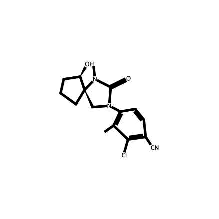 Cc1c(N2C[C@]3(CCC[C@H]3O)N(C)C2=O)ccc(C#N)c1Cl